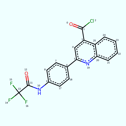 O=C(Cl)c1cc(-c2ccc(NC(=O)C(F)(F)F)cc2)nc2ccccc12